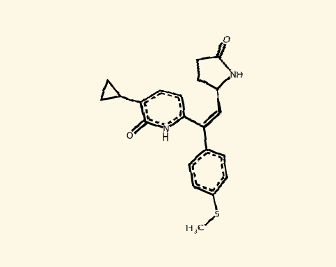 CSc1ccc(C(=C[C@H]2CCC(=O)N2)c2ccc(C3CC3)c(=O)[nH]2)cc1